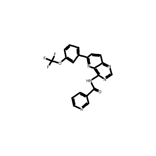 O=C(Nc1ncnc2ccc(-c3cccc(OC(F)(F)F)c3)nc12)c1cccnc1